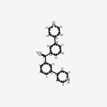 O=C(c1cccc(-c2ccncc2)c1)c1cccc(-c2ccncc2)c1